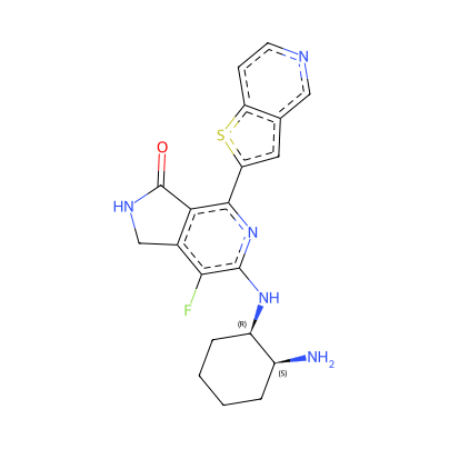 N[C@H]1CCCC[C@H]1Nc1nc(-c2cc3cnccc3s2)c2c(c1F)CNC2=O